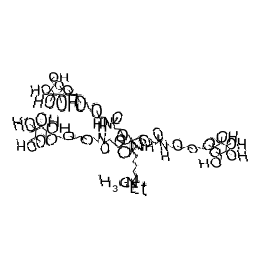 CCN(C)CCCCCC(=O)NC(COCCC(=O)NCCOCCOCCO[C@@H]1OC(CO)[C@@H](O)[C@H](O)C1O)(COCCC(=O)NCCOCCOCCO[C@@H]1OC(CO)[C@@H](O)[C@H](O)C1O)COCCC(=O)NCCOCCOCCO[C@@H]1OC(CO)[C@@H](O)[C@H](O)C1O